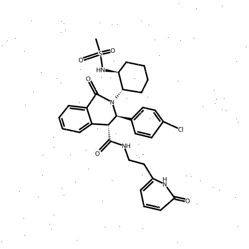 CS(=O)(=O)N[C@H]1CCCC[C@@H]1N1C(=O)c2ccccc2[C@@H](C(=O)NCCc2cccc(=O)[nH]2)[C@@H]1c1ccc(Cl)cc1